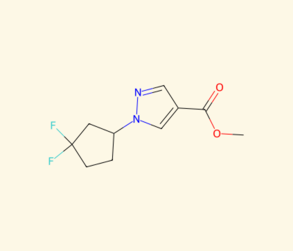 COC(=O)c1cnn(C2CCC(F)(F)C2)c1